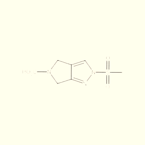 CS(=O)(=O)n1cc2c(n1)CN(C(=O)O)C2